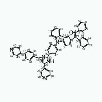 c1ccc(-c2oc3c(ccc4c3c3ccccc3n4-c3ccc(C4NC(c5ccncc5)N5C(c6ccc(-c7ccncc7)cc6)N45)cc3)c2-c2ccccc2)cc1